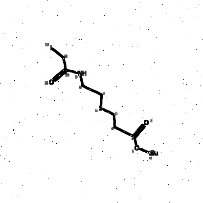 CC(C)(C)OC(=O)CCSCCNC(=O)CI